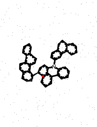 c1ccc(-c2ccccc2N(c2ccc(-c3cccc4ccc5c6ccccc6ccc5c34)cc2)c2ccc3ccc4ccccc4c3c2)cc1